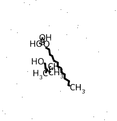 CCCCCCCCCCCCCCOB(O)O.C[N+](C)(C)CCO